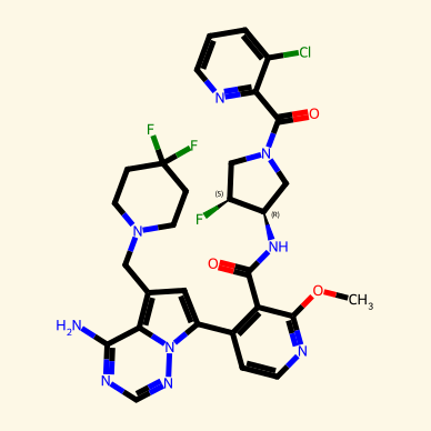 COc1nccc(-c2cc(CN3CCC(F)(F)CC3)c3c(N)ncnn23)c1C(=O)N[C@@H]1CN(C(=O)c2ncccc2Cl)C[C@@H]1F